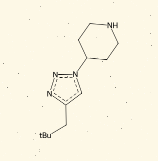 CC(C)(C)Cc1cn(C2CCNCC2)nn1